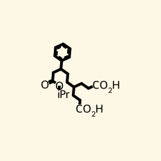 CC(C)OC(=O)CC(CCC(CCC(=O)O)CCC(=O)O)c1ccccc1